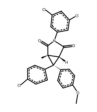 COc1ccc([C@@]2(c3ccc(Cl)cc3)[C@H]3C(=O)N(c4cc(Cl)cc(Cl)c4)C(=O)[C@]32C)cc1